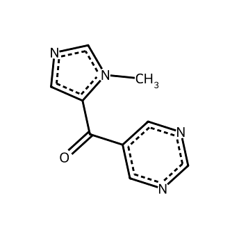 Cn1cncc1C(=O)c1cncnc1